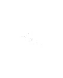 [O]=[Ti].[SnH4].[Zr]